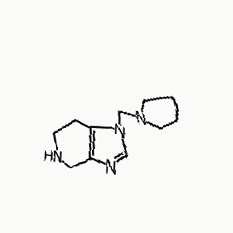 c1nc2c(n1CN1CCCC1)CCNC2